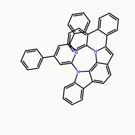 c1ccc(-c2cc(-c3ccccc3)nc(-n3c4ccccc4c4ccc5cc6c7ccccc7c7ccccc7n6c5c43)c2)cc1